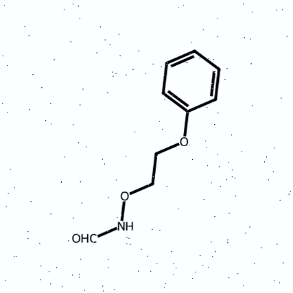 O=CNOCCOc1ccccc1